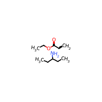 C=CC(=O)OCC.CCC(N)CC